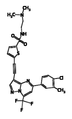 Cc1cc(-c2cc(C(F)(F)F)n3ncc(C#Cc4ccc(S(=O)(=O)NCCN(C)C)s4)c3n2)ccc1Cl